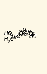 CN(CCO)CCOc1ccc2nc(Cc3ccc(Cl)cc3)sc2c1